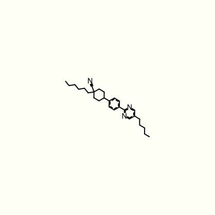 CCCCCCC1(C#N)CCC(c2ccc(-c3ncc(CCCCC)cn3)cc2)CC1